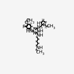 CCNCCCCCNC1=NC(Nc2ccc(OC)c(F)c2)=NC(NCC2CCCN2CC)N1